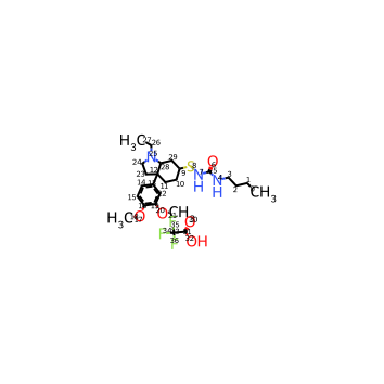 CCCCNC(=O)NSC1CCC2(c3ccc(OC)c(OC)c3)CCN(CC)C2C1.O=C(O)C(F)(F)F